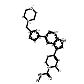 CC(C)NC(=O)N1CCC(c2c[nH]c3ncc(-c4ccc(CN5CCOCC5)s4)cc23)=CC1C